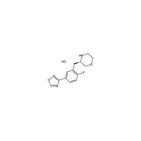 Cl.Fc1ccc(-c2ncon2)cc1C[C@@H]1COCCN1